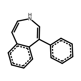 C1=Cc2ccccc2C(c2ccccc2)=CN1